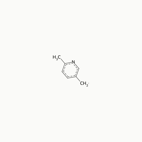 [CH2]c1ccc(C)nc1